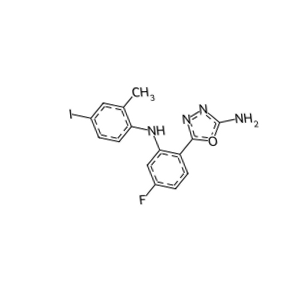 Cc1cc(I)ccc1Nc1cc(F)ccc1-c1nnc(N)o1